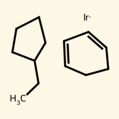 C1=CCCC=C1.CCC1CCCC1.[Ir]